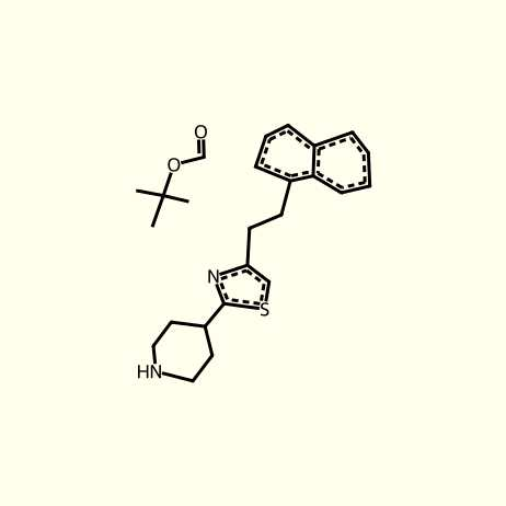 CC(C)(C)OC=O.c1ccc2c(CCc3csc(C4CCNCC4)n3)cccc2c1